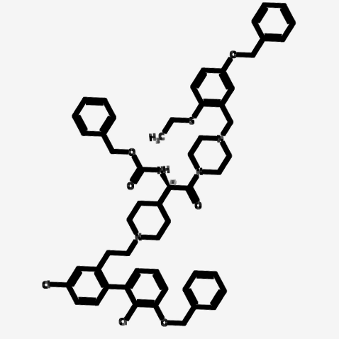 CCSc1ccc(OCc2ccccc2)cc1CN1CCN(C(=O)[C@H](NC(=O)OCc2ccccc2)C2CCN(CCc3cc(Cl)ccc3-c3cccc(OCc4ccccc4)c3Cl)CC2)CC1